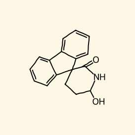 O=C1NC(O)CCC12c1ccccc1-c1ccccc12